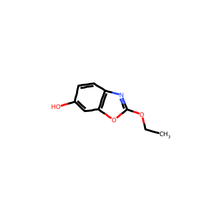 CCOc1nc2ccc(O)cc2o1